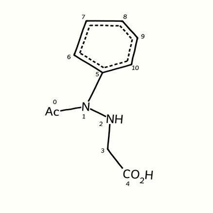 CC(=O)N(NCC(=O)O)c1ccccc1